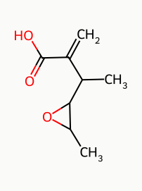 C=C(C(=O)O)C(C)C1OC1C